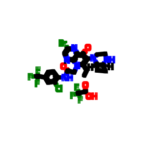 CCc1c(N2CCN[C@H]3CC[C@@H]32)c(=O)c2nc(Br)cnc2n1CC(=O)Nc1ccc(C(F)(F)F)cc1Cl.O=C(O)C(F)(F)F